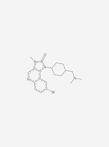 CN(C)CC1CCC(n2c(=O)n(C)c3cnc4ccc(Br)cc4c32)CC1